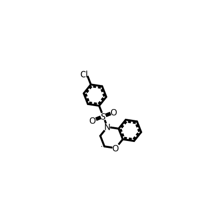 O=S(=O)(c1ccc(Cl)cc1)N1C[CH]Oc2ccccc21